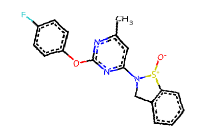 Cc1cc(N2Cc3ccccc3[S+]2[O-])nc(Oc2ccc(F)cc2)n1